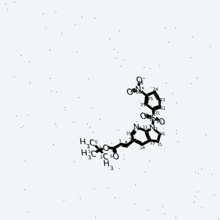 CC(C)(C)OC(=O)/C=C/c1cnc2c(c1)CCN2S(=O)(=O)c1cccc([N+](=O)[O-])c1